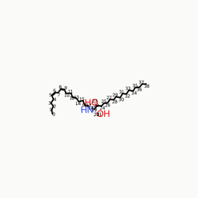 CCCCC/C=C\C/C=C\CCCCCCCCN[C@@H](CO)[C@H](O)CCCCCCCCCCCCCCC